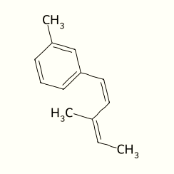 C/C=C(C)\C=C/c1cccc(C)c1